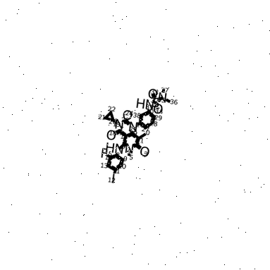 Cc1c(=O)n(C)c(Nc2ccc(I)cc2F)c2c(=O)n(C3CC3)c(=O)n(-c3cccc(NS(=O)(=O)N(C)C)c3)c12